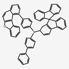 C1=CC(N(c2ccc(-c3ccccc3)cc2)c2ccc(-c3cccc4ccc5oc6ccccc6c5c34)cc2)CC2=C1c1ccccc1C21c2ccccc2-c2ccccc21